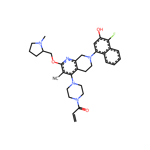 C=CC(=O)N1CCN(c2c(C#N)c(OCC3CCCN3C)nc3c2CCN(c2cc(O)c(F)c4ccccc24)C3)CC1